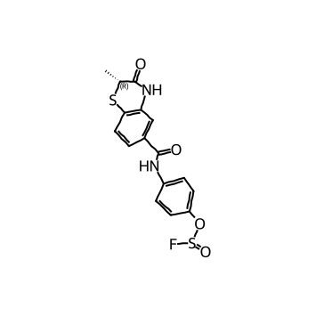 C[C@H]1Sc2ccc(C(=O)Nc3ccc(OS(=O)F)cc3)cc2NC1=O